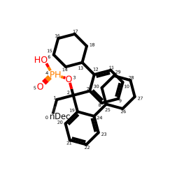 CCCCCCCCCCCC(O[PH](=O)O)(c1ccccc1C1CCCCC1)c1ccccc1C1CCCCC1